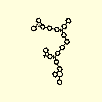 CC1(C)c2ccccc2-c2cc(N(c3ccc(-c4ccc(-c5cccc(-c6ccc(N(c7ccc(-c8ccccc8)cc7)c7ccc(-c8ccc(-c9ccc%10c(c9)c9ccccc9n%10-c9ccccc9)cc8)cc7)cc6)c5)cc4)cc3)c3ccc(-c4ccc5c(c4)-c4ccccc4C(c4ccccc4)CC5)cc3)ccc21